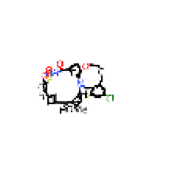 CO[C@H]1C2=CC(C2)[C@H](C)[C@@H](C)S(=O)(=O)NC(=O)c2ccc3c(c2)N(Cc2c(F)cc(Cl)cc2CCCCO3)C[C@@H]2CC[C@H]21